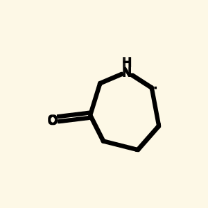 O=C1CCC[CH]NC1